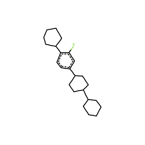 Fc1cc(C2CCC(C3CCCCC3)CC2)ccc1C1CCCCC1